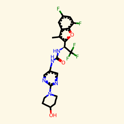 Cc1c([C@H](NC(=O)Nc2cnc(N3CCC(O)CC3)nc2)C(F)(F)F)oc2c(F)cc(F)cc12